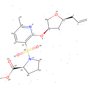 C=CC[C@H]1C[C@@H](Oc2nc(C)ccc2S(=O)(=O)N2CCC[C@H]2C(=O)OC)CO1